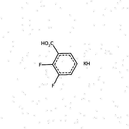 O=C(O)c1cccc(F)c1F.[KH]